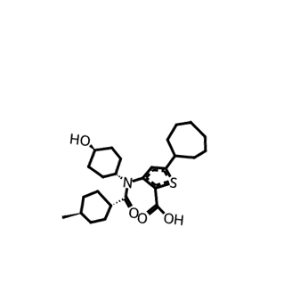 C[C@H]1CC[C@H](C(=O)N(c2cc(C3CCCCCC3)sc2C(=O)O)[C@H]2CC[C@H](O)CC2)CC1